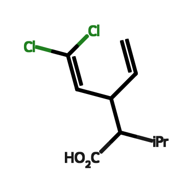 C=CC(C=C(Cl)Cl)C(C(=O)O)C(C)C